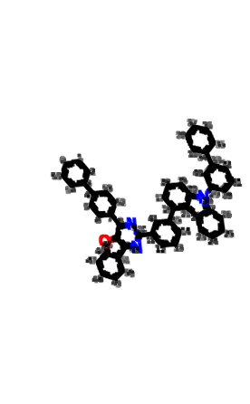 c1ccc(-c2ccc(-c3nc(-c4cccc(-c5cccc6c5c5ccccc5n6-c5cccc(-c6ccccc6)c5)c4)nc4c3oc3ccccc34)cc2)cc1